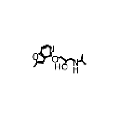 Cc1cc2c(OCC(O)CNC(C)C)nccc2o1